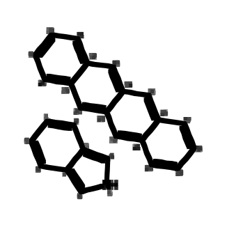 c1ccc2c[nH]cc2c1.c1ccc2cc3cc4ccccc4cc3cc2c1